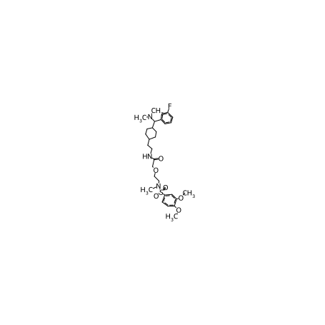 COc1ccc(S(=O)(=O)N(C)CCOCC(=O)NCCC2CCC(C(c3cccc(F)c3)N(C)C)CC2)cc1OC